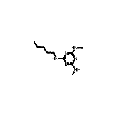 CCCCCNc1nc(NC)nc(NC)n1